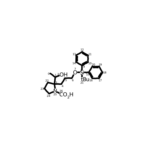 CC(O)C1(CCCO[Si](c2ccccc2)(c2ccccc2)C(C)(C)C)CCCN1C(=O)O